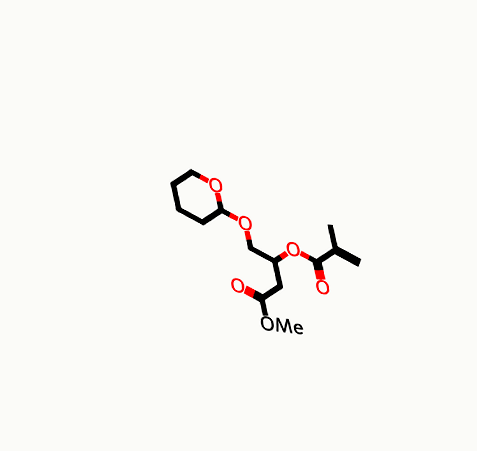 C=C(C)C(=O)OC(COC1CCCCO1)CC(=O)OC